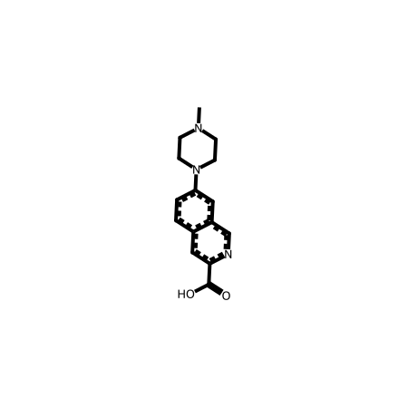 CN1CCN(c2ccc3cc(C(=O)O)ncc3c2)CC1